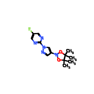 CC1(C)ON(c2cnn(-c3ncc(F)cn3)c2)OC1(C)C